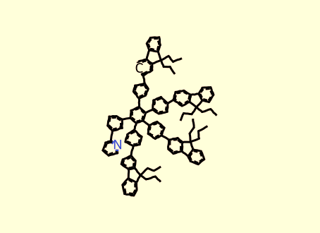 CCCC1(CCC)c2ccccc2-c2ccc(-c3ccc(-c4cc(-c5cccc(-c6ccccn6)c5)c(-c5ccc(-c6ccc7c(c6)C(CCC)(CCC)c6ccccc6-7)cc5)c(-c5ccc(-c6ccc7c(c6)C(CCC)(CCC)c6ccccc6-7)cc5)c4-c4ccc(-c5ccc6c(c5)C(CCC)(CCC)c5ccccc5-6)cc4)cc3)cc21